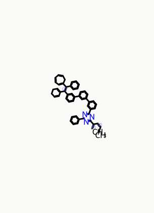 C#C/C=C\C(=C/C)c1nc(-c2ccccc2)nc(-c2cccc(-c3cccc(-c4cccc(/C(C5=CCCC=C5)=C(/C5=CC=CC=CC5)c5ccccc5)c4)c3)c2)n1